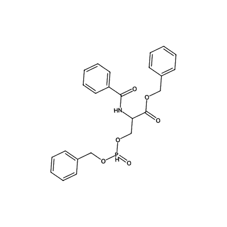 O=C(NC(CO[PH](=O)OCc1ccccc1)C(=O)OCc1ccccc1)c1ccccc1